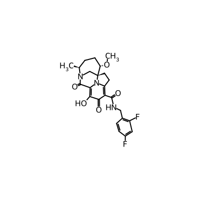 CO[C@H]1CC[C@H](C)N2C[C@]13CCc1c(C(=O)NCc4ccc(F)cc4F)c(=O)c(O)c(n13)C2=O